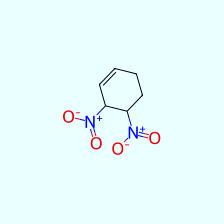 O=[N+]([O-])C1C=CCCC1[N+](=O)[O-]